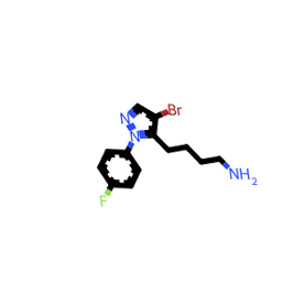 NCCCCc1c(Br)cnn1-c1ccc(F)cc1